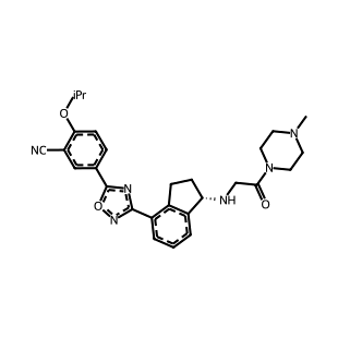 CC(C)Oc1ccc(-c2nc(-c3cccc4c3CC[C@@H]4NCC(=O)N3CCN(C)CC3)no2)cc1C#N